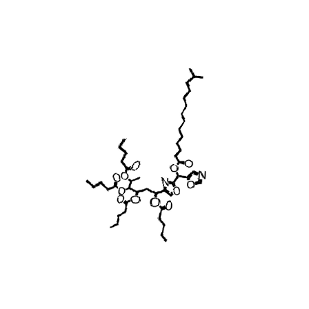 CCCCC(=O)OC(CC(OC(=O)CCCC)C(OC(=O)CCCC)C(C)OC(=O)CCCC)c1coc(C(OC(=O)CCCCCCCCCCCC(C)C)c2cnco2)n1